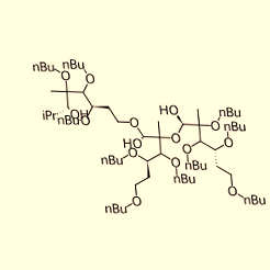 CCCCOCC[C@@H](OCCCC)C(OCCCC)C(C)(OCCCC)[C@H](O)OC(C)(C(OCCCC)[C@@H](CCOCCCC)OCCCC)[C@H](O)OCC[C@@H](OCCCC)C(OCCCC)C(C)(OCCCC)[C@H](O)C(C)C